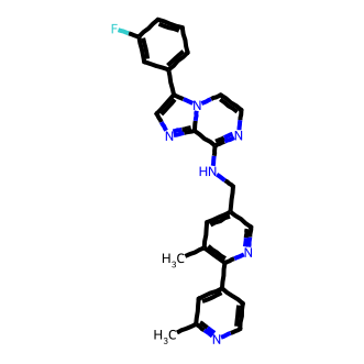 Cc1cc(-c2ncc(CNc3nccn4c(-c5cccc(F)c5)cnc34)cc2C)ccn1